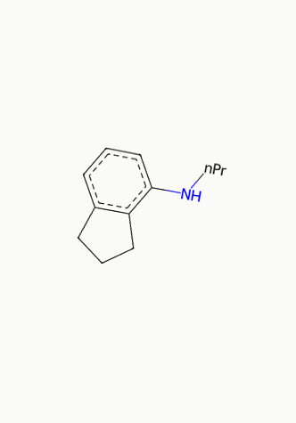 CCCNc1cccc2c1CCC2